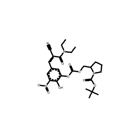 CCN(CC)C(=O)C(C#N)=Cc1cc(OC(=O)OCC2CCCN2C(=O)OC(C)(C)C)c(O)c([N+](=O)[O-])c1